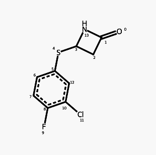 O=C1CC(Sc2ccc(F)c(Cl)c2)N1